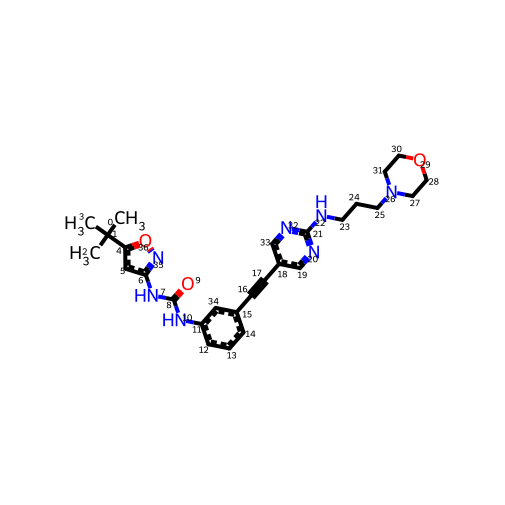 CC(C)(C)c1cc(NC(=O)Nc2cccc(C#Cc3cnc(NCCCN4CCOCC4)nc3)c2)no1